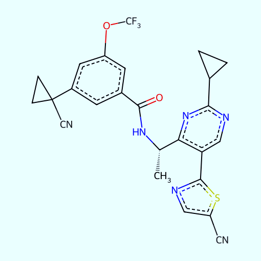 C[C@H](NC(=O)c1cc(OC(F)(F)F)cc(C2(C#N)CC2)c1)c1nc(C2CC2)ncc1-c1ncc(C#N)s1